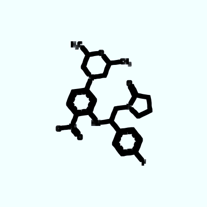 CC1CN(c2ccc([N+](=O)[O-])c(NC(CN3CCCC3=O)c3ccc(F)cc3)c2)CC(C)O1